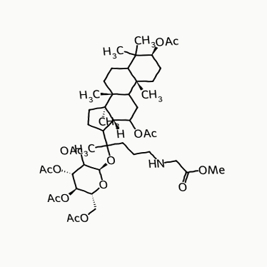 COC(=O)CNCCCC(C)(O[C@H]1O[C@H](COC(C)=O)[C@@H](OC(C)=O)[C@H](OC(C)=O)C1OC(C)=O)C1CC[C@]2(C)[C@@H]1C(OC(C)=O)CC1[C@@]3(C)CC[C@H](OC(C)=O)C(C)(C)C3CC[C@]12C